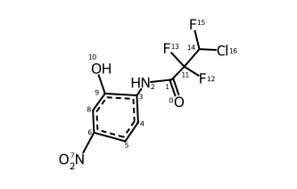 O=C(Nc1ccc([N+](=O)[O-])cc1O)C(F)(F)C(F)Cl